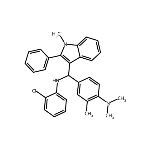 Cc1cc(C(Nc2ccccc2Cl)c2c(-c3ccccc3)n(C)c3ccccc23)ccc1N(C)C